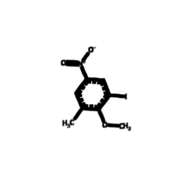 COc1c(C)cc([N+](=O)[O-])cc1I